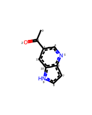 CC(=O)c1cnc2cc[nH]c2c1